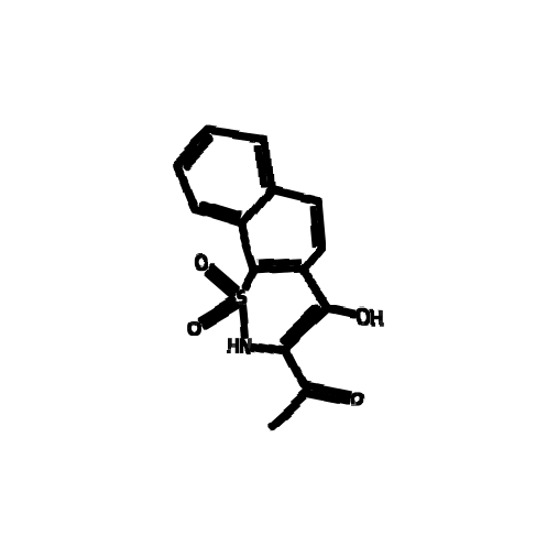 CC(=O)C1=C(O)c2ccc3ccccc3c2S(=O)(=O)N1